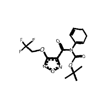 CC(C)(C)OC(=O)N(C(=O)c1nonc1OCC(F)(F)F)C1=CCCC=C1